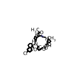 CC(=O)O[C@@H]1/C=C/CN(C)C2(CCC2)C(=O)NS(=O)(=O)c2ccc3c(c2)N(C[C@@H]2CC[C@H]21)C[C@@]1(CCCc2cc(Cl)ccc21)CO3